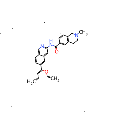 C=C/C=C(\OC=C)c1ccc2cnc(NC(=O)c3ccc4c(c3)CCN(C)C4)cc2c1